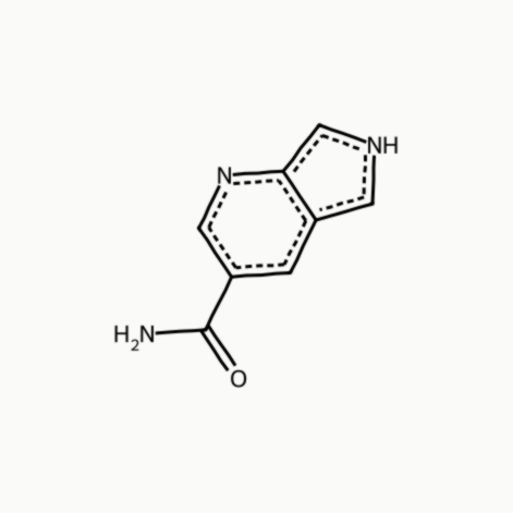 NC(=O)c1cnc2c[nH]cc2c1